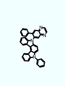 c1ccc(-c2cc3nccnc3cc2-n2c3ccccc3c3c4c5ccccc5n(-c5ccccc5)c4ccc32)cc1